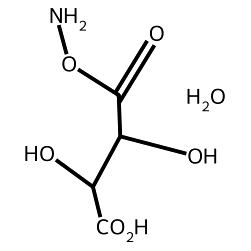 NOC(=O)C(O)C(O)C(=O)O.O